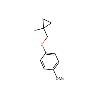 COc1ccc(OCC2(C)CC2)cc1